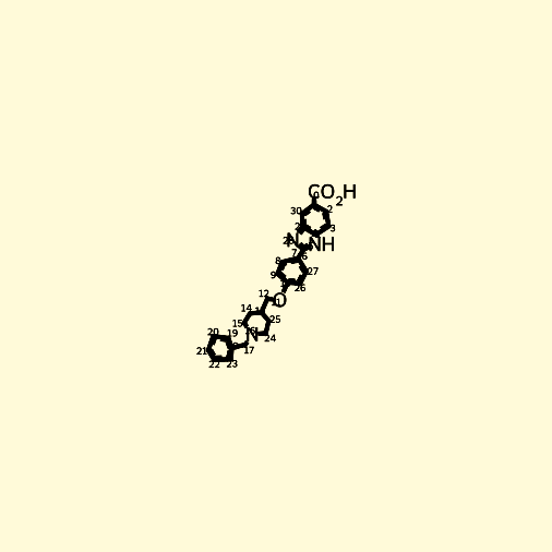 O=C(O)c1ccc2[nH]c(-c3ccc(OCC4CCN(Cc5ccccc5)CC4)cc3)nc2c1